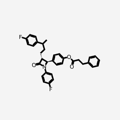 CC(CC[C@H]1C(=O)N(c2ccc(F)cc2)[C@@H]1c1ccc(OC(=O)CCc2ccccc2)cc1)c1ccc(F)cc1